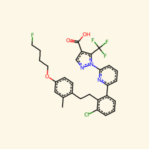 Cc1cc(OCCCCF)ccc1CCc1c(Cl)cccc1-c1cccc(-n2ncc(C(=O)O)c2C(F)(F)F)n1